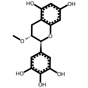 CO[C@@H]1Cc2c(O)cc(O)cc2O[C@H]1c1cc(O)c(O)c(O)c1